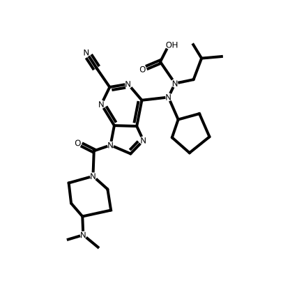 CC(C)CN(C(=O)O)N(c1nc(C#N)nc2c1ncn2C(=O)N1CCC(N(C)C)CC1)C1CCCC1